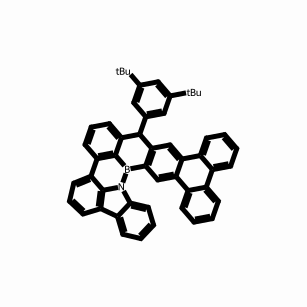 CC(C)(C)c1cc(C2c3cc4c5ccccc5c5ccccc5c4cc3B3c4c(cccc42)-c2cccc4c5ccccc5n3c24)cc(C(C)(C)C)c1